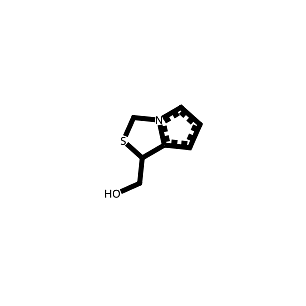 OCC1SCn2cccc21